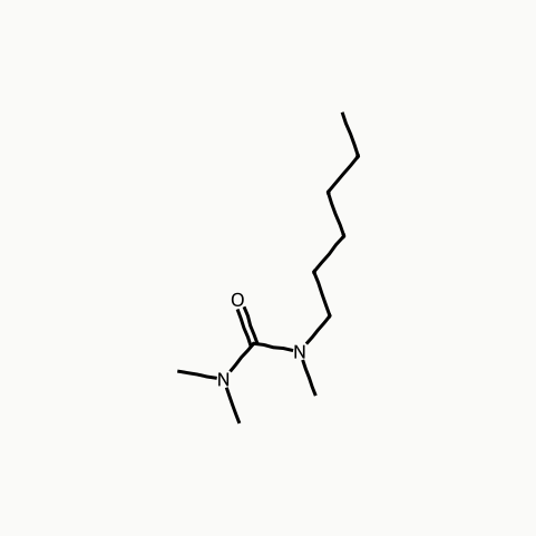 CCCCCCN(C)C(=O)N(C)C